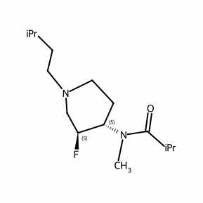 CC(C)CCN1CC[C@H](N(C)C(=O)C(C)C)[C@@H](F)C1